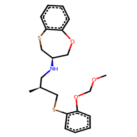 COCOc1ccccc1SC[C@@H](C)CN[C@@H]1COc2ccccc2SC1